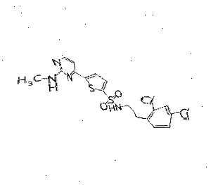 CNc1nccc(-c2ccc(S(=O)(=O)NCCc3ccc(Cl)cc3Cl)s2)n1